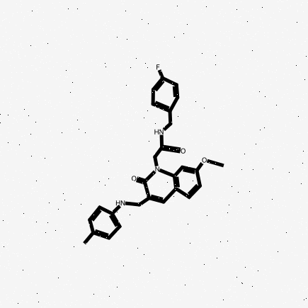 COc1ccc2cc(CNc3ccc(C)cc3)c(=O)n(CC(=O)NCc3ccc(F)cc3)c2c1